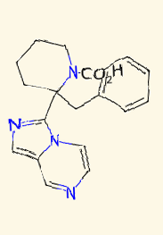 O=C(O)N1CCCCC1(Cc1ccccc1)c1ncc2cnccn12